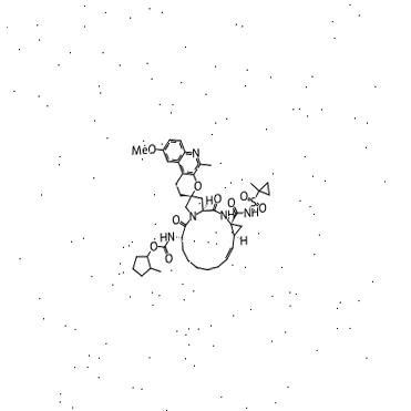 COc1ccc2nc(C)c3c(c2c1)CC[C@]1(C[C@H]2C(=O)N[C@]4(C(=O)NS(=O)(=O)C5(C)CC5)C[C@H]4/C=C\CCCCC[C@H](NC(=O)OC4CCCC4C)C(=O)N2C1)O3